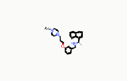 CC(=O)N1CCN(CCCOc2cccc(CN[C@@H](C)c3cccc4ccccc34)c2)CC1